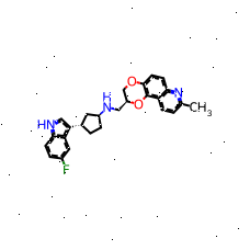 Cc1ccc2c3c(ccc2n1)OC[C@H](CN[C@H]1CC[C@H](c2c[nH]c4ccc(F)cc24)C1)O3